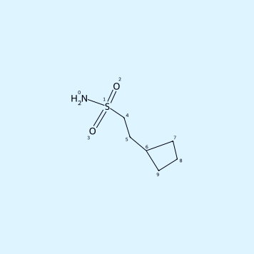 NS(=O)(=O)CCC1CCC1